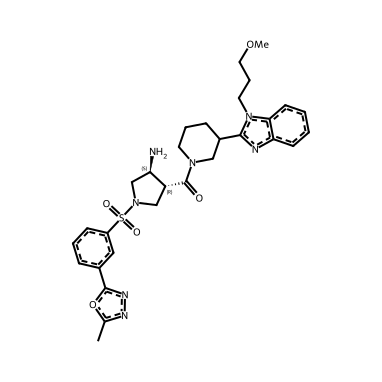 COCCCn1c(C2CCCN(C(=O)[C@@H]3CN(S(=O)(=O)c4cccc(-c5nnc(C)o5)c4)C[C@H]3N)C2)nc2ccccc21